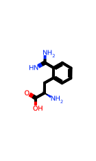 N=C(N)c1ccccc1C[C@@H](N)C(=O)O